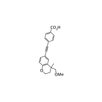 COCC1(C)CCOc2ccc(C#Cc3ccc(C(=O)O)cc3)cc21